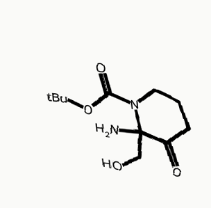 CC(C)(C)OC(=O)N1CCCC(=O)C1(N)CO